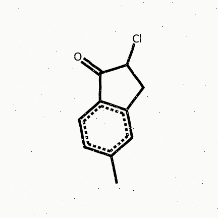 Cc1ccc2c(c1)CC(Cl)C2=O